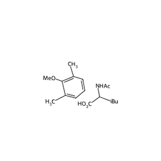 CCC(C)C(NC(C)=O)C(=O)O.COc1c(C)cccc1C